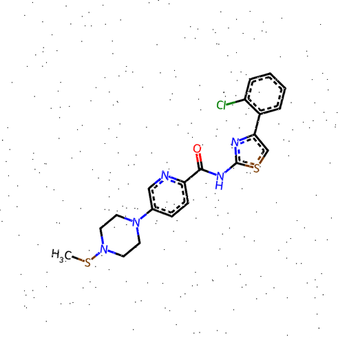 CSN1CCN(c2ccc(C(=O)Nc3nc(-c4ccccc4Cl)cs3)nc2)CC1